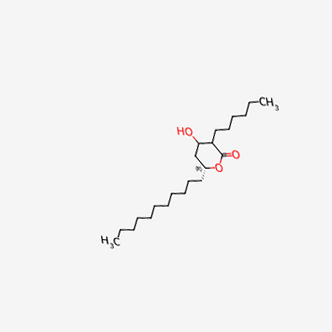 CCCCCCCCCCC[C@@H]1CC(O)C(CCCCCC)C(=O)O1